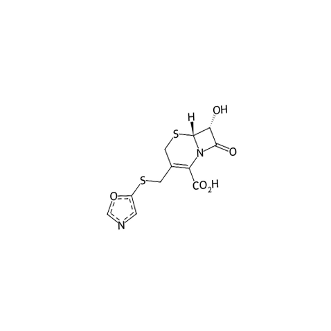 O=C(O)C1=C(CSc2cnco2)CS[C@@H]2[C@H](O)C(=O)N12